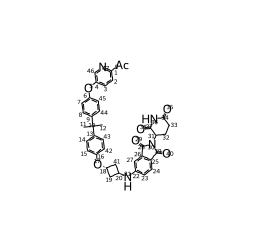 CC(=O)c1ccc(Oc2ccc(C(C)(C)c3ccc(O[C@H]4C[C@H](Nc5ccc6c(c5)C(=O)N(C5CCC(=O)NC5=O)C6=O)C4)cc3)cc2)cn1